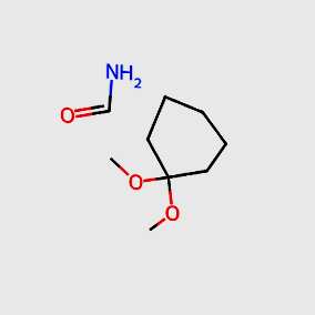 COC1(OC)CCCCC1.NC=O